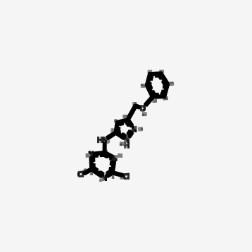 Clc1nc(Cl)nc(Nc2cc(COc3ccccc3)n[nH]2)n1